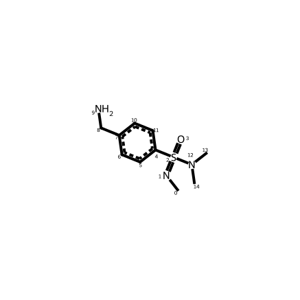 CN=S(=O)(c1ccc(CN)cc1)N(C)C